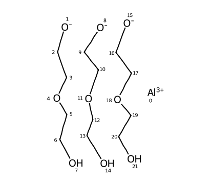 [Al+3].[O-]CCOCCO.[O-]CCOCCO.[O-]CCOCCO